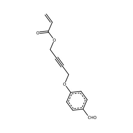 C=CC(=O)OCC#CCOc1ccc(C=O)cc1